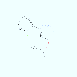 C#CC(C)Oc1cc(-c2cccc(F)c2F)nc(C)n1